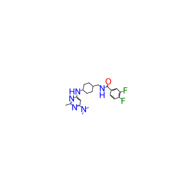 Cc1nc(NC2CCC(CNC(=O)c3ccc(F)c(F)c3)CC2)cc(N(C)C)n1